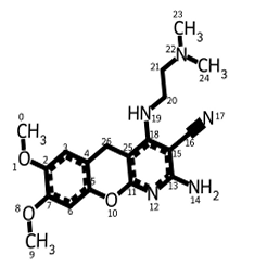 COc1cc2c(cc1OC)Oc1nc(N)c(C#N)c(NCCN(C)C)c1C2